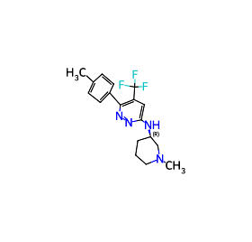 Cc1ccc(-c2nnc(N[C@@H]3CCCN(C)C3)cc2C(F)(F)F)cc1